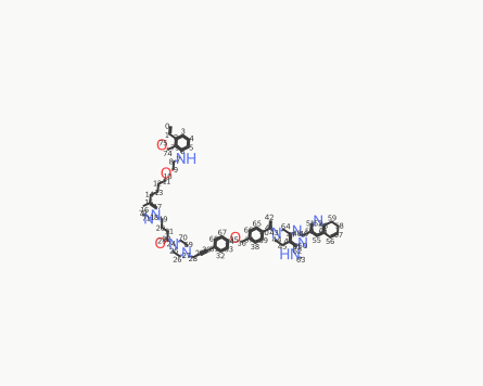 C=Cc1cccc(NCCOCCCC/C(C)=C/N(CCCC(=O)N2CCN(CC#Cc3ccc(OCc4ccc(C(=C)N5CCc6c(nc(-c7cnc8c(c7)C=CCC8)nc6NC)C5)cc4)cc3)CC2)N=C)c1C=O